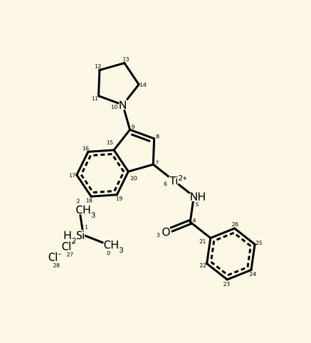 C[SiH2]C.O=C([NH][Ti+2][CH]1C=C(N2CCCC2)c2ccccc21)c1ccccc1.[Cl-].[Cl-]